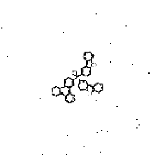 O=P(c1ccc2oc3ccccc3c2c1)(c1ccc2oc3ccccc3c2c1)c1ccc2c3ccccc3c3ccccc3c2c1